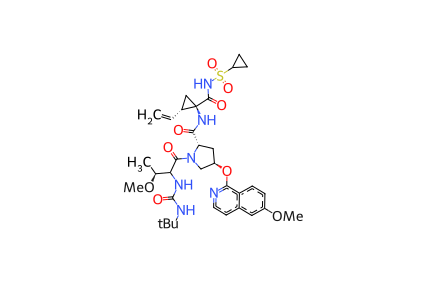 C=C[C@@H]1C[C@]1(NC(=O)[C@@H]1C[C@@H](Oc2nccc3cc(OC)ccc23)CN1C(=O)C(NC(=O)NC(C)(C)C)[C@H](C)OC)C(=O)NS(=O)(=O)C1CC1